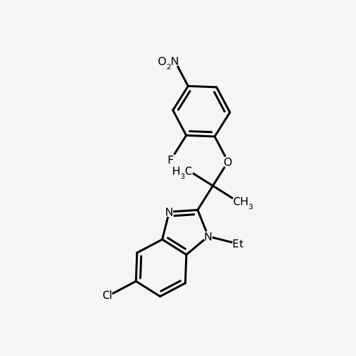 CCn1c(C(C)(C)Oc2ccc([N+](=O)[O-])cc2F)nc2cc(Cl)ccc21